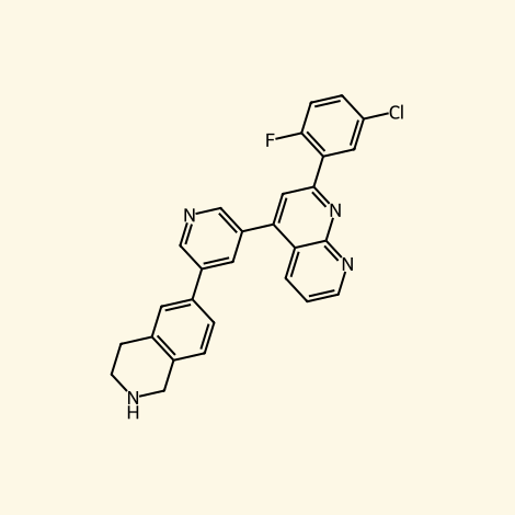 Fc1ccc(Cl)cc1-c1cc(-c2cncc(-c3ccc4c(c3)CCNC4)c2)c2cccnc2n1